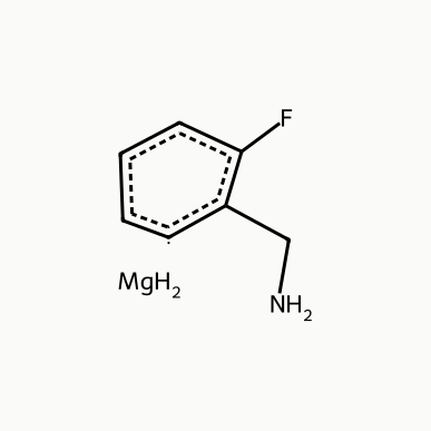 NCc1[c]cccc1F.[MgH2]